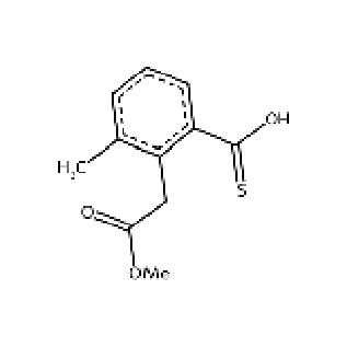 COC(=O)Cc1c(C)cccc1C(O)=S